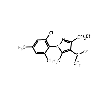 CCOC(=O)c1nn(-c2c(Cl)cc(C(F)(F)F)cc2Cl)c(N)c1[S+]([O-])C(F)(F)F